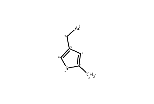 [CH2]c1cc(CC(C)=O)cs1